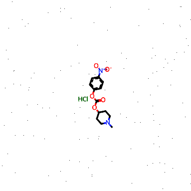 CN1CCC(OC(=O)Oc2ccc([N+](=O)[O-])cc2)CC1.Cl